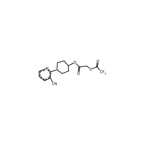 N#Cc1cccnc1N1CCC(OC(=O)COC(=O)C(F)(F)F)CC1